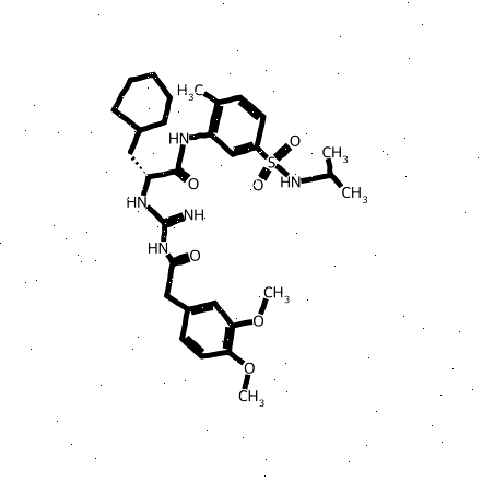 COc1ccc(CC(=O)NC(=N)N[C@H](CC2CCCCC2)C(=O)Nc2cc(S(=O)(=O)NC(C)C)ccc2C)cc1OC